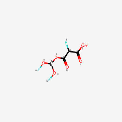 O=C(O)C(F)C(=O)OB(OF)OF